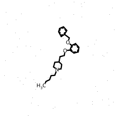 CCCCCN1CCC(CCOc2ccccc2OCc2ccccc2)CC1